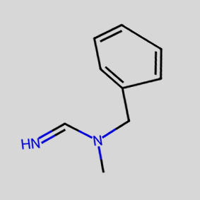 CN(C=N)Cc1ccccc1